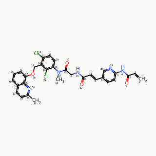 C=CC(=O)Nc1ccc(C=CC(=O)NCC(=O)N(C)c2ccc(Cl)c(COc3cccc4ccc(C)nc34)c2Cl)cn1